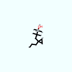 CCCC1(CC(C)(C)[Si](C)(C)O)CC1